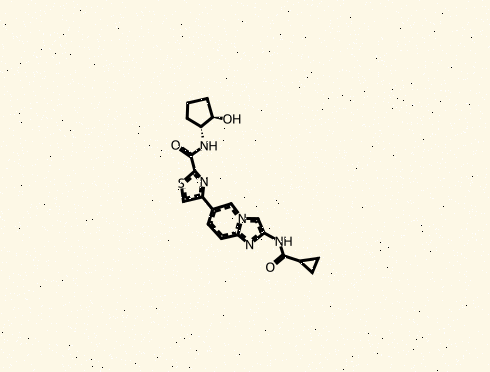 O=C(N[C@@H]1CCC[C@H]1O)c1nc(-c2ccc3nc(NC(=O)C4CC4)cn3c2)cs1